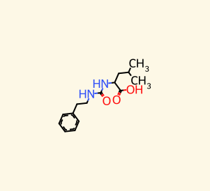 CC(C)CC(NC(=O)NCCc1ccccc1)C(=O)O